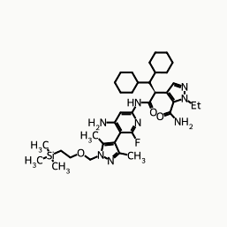 CCn1ncc([C@@H](C(=O)Nc2cc(N)c(-c3c(C)nn(COCC[Si](C)(C)C)c3C)c(F)n2)C(C2CCCCC2)C2CCCCC2)c1C(N)=O